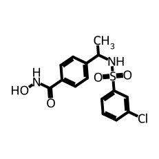 CC(NS(=O)(=O)c1cccc(Cl)c1)c1ccc(C(=O)NO)cc1